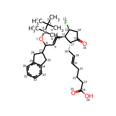 CC(C)(C)[Si](C)(C)OC(C=C[C@H]1[C@@H](F)CC(=O)[C@@H]1CC=CCCCC(=O)O)C1Cc2ccccc2C1